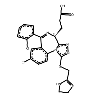 O=C(O)CC[C@@H]1N=C(c2ccccc2Cl)c2cc(Cl)ccc2-n2c(SCC3=NCCN3)nnc21